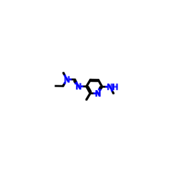 CCN(C)/C=N/c1ccc(NC)nc1C